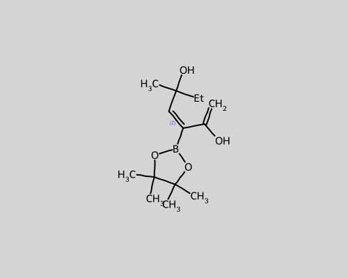 C=C(O)/C(=C\C(C)(O)CC)B1OC(C)(C)C(C)(C)O1